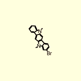 Cn1c2ccccc2c2cc3c(cc21)c1ccc(Br)cc1n3C